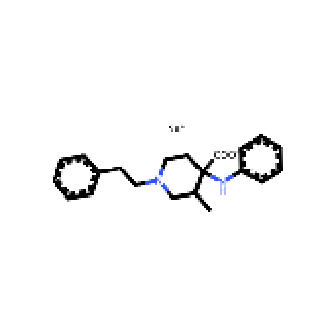 CC1CN(CCc2ccccc2)CCC1(Nc1ccccc1)C(=O)[O-].[Na+]